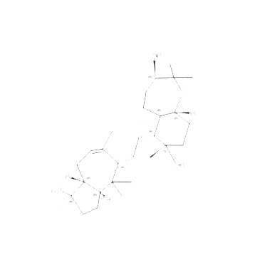 CC1=CC[C@@H]2[C@@H](CC[C@@]2(C)O)C(C)(C)[C@H]1CC[C@@H]1[C@@]2(C)CC[C@@H](O)C(C)(C)O[C@@H]2CC[C@]1(C)O